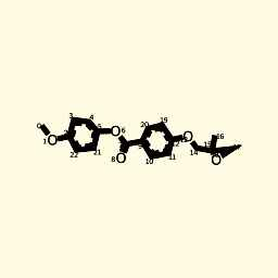 COc1ccc(OC(=O)c2ccc(OCC3(C)CO3)cc2)cc1